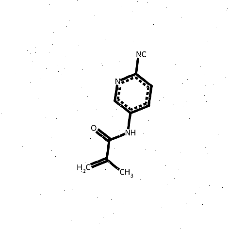 [C-]#[N+]c1ccc(NC(=O)C(=C)C)cn1